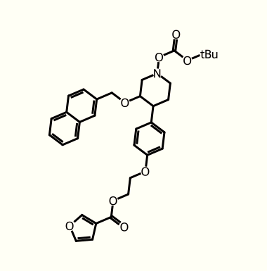 CC(C)(C)OC(=O)ON1CCC(c2ccc(OCCOC(=O)c3ccoc3)cc2)C(OCc2ccc3ccccc3c2)C1